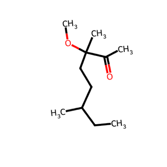 CCC(C)CCC(C)(OC)C(C)=O